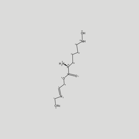 CC(=O)OCN=CCOC(=O)[C@@H](N)CCCCNO